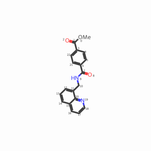 COC(=O)c1ccc(C(=O)NCc2cccc3cccnc23)cc1